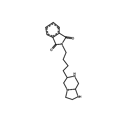 O=C1c2ccccc2C(=O)N1CCCCC1CN2CCNC2CN1